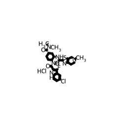 CN1CCc2nc(C(=O)N[C@@H]3C[C@@H](C(=O)N(C)C)CC[C@@H]3NC(=O)c3[nH]c4ccc(Cl)cc4c3F)sc2C1.Cl